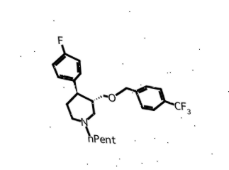 CCCCCN1CC[C@@H](c2ccc(F)cc2)[C@H](COCc2ccc(C(F)(F)F)cc2)C1